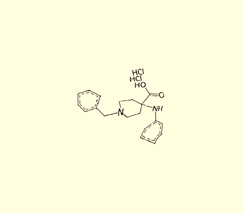 Cl.Cl.O=C(O)C1(Nc2ccccc2)CCN(Cc2ccccc2)CC1